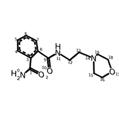 NC(=O)c1ccccc1C(=O)NCCN1CCOCC1